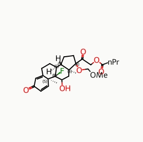 CCCC(=O)OCC(=O)[C@@]1(OCOC)CC[C@H]2[C@@H]3CCC4=CC(=O)C=C[C@]4(C)[C@@]3(F)C(O)C[C@@]21C